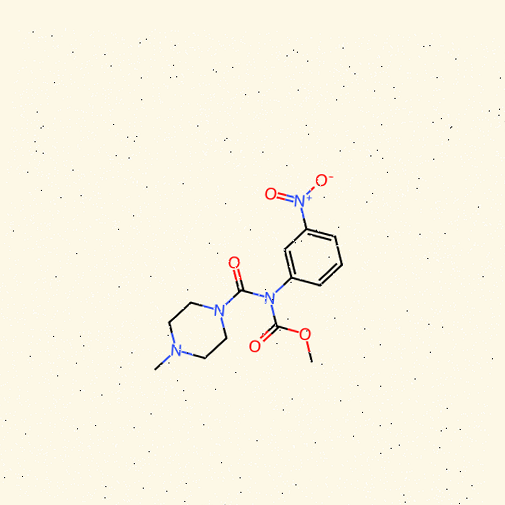 COC(=O)N(C(=O)N1CCN(C)CC1)c1cccc([N+](=O)[O-])c1